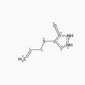 C=CCSc1c[nH][nH]c1=O